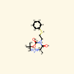 C[C@@H](N)C(=O)N(CCSc1ccccc1)C(=O)OC(C)(C)C